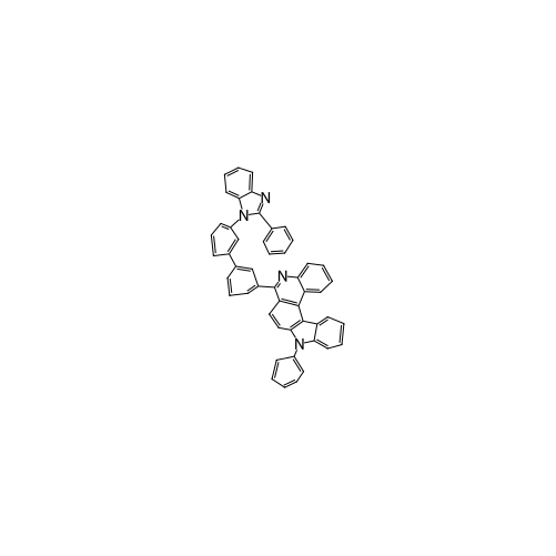 c1ccc(-c2nc3ccccc3n2-c2cccc(-c3cccc(-c4nc5ccccc5c5c4ccc4c5c5ccccc5n4-c4ccccc4)c3)c2)cc1